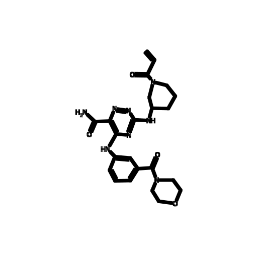 C=CC(=O)N1CCCC(Nc2nnc(C(N)=O)c(Nc3cccc(C(=O)N4CCOCC4)c3)n2)C1